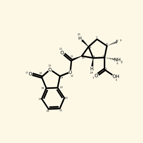 N[C@]1(C(=O)O)[C@H]2[C@@H](C[C@@H]1F)[C@@H]2C(=O)OC1OC(=O)c2ccccc21